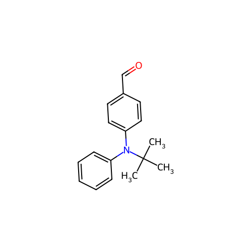 CC(C)(C)N(c1ccccc1)c1ccc(C=O)cc1